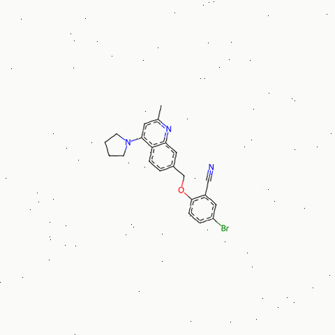 Cc1cc(N2CCCC2)c2ccc(COc3ccc(Br)cc3C#N)cc2n1